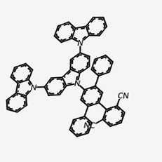 N#Cc1cccc(C#N)c1-c1cc(-c2ccccc2)c(-n2c3ccc(-n4c5ccccc5c5ccccc54)cc3c3cc(-n4c5ccccc5c5ccccc54)ccc32)cc1-c1ccccc1